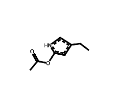 CCc1c[nH]c(OC(C)=O)c1